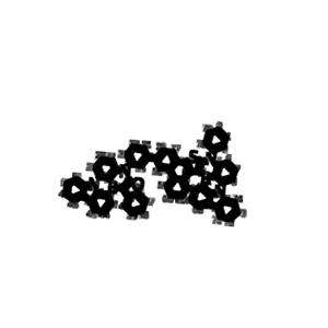 c1ccc(N2c3cccc4c3B(c3c2sc2c5ccc(-c6cccc(N7c8cccc9c8B(c8c7oc7ccccc87)c7cccc8c%10ccccc%10n-9c78)c6)cc5c5ccccc5c32)c2cccc3c5ccccc5n-4c23)cc1